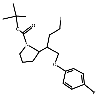 CC(C)(C)OC(=O)N1CCCC1C(CCI)COc1ccc(F)cc1